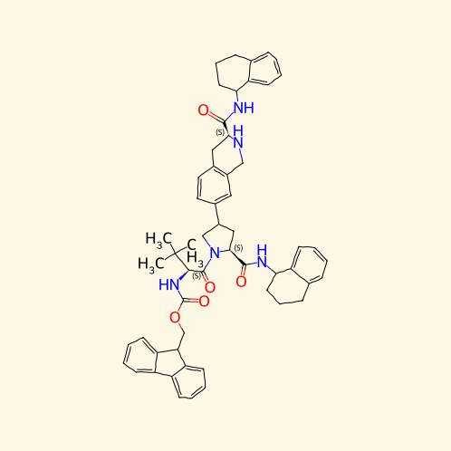 CC(C)(C)[C@H](NC(=O)OCC1c2ccccc2-c2ccccc21)C(=O)N1CC(c2ccc3c(c2)CN[C@H](C(=O)NC2CCCc4ccccc42)C3)C[C@H]1C(=O)NC1CCCc2ccccc21